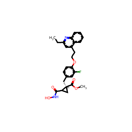 CCc1cc(CCOc2ccc(C[C@]3(C(=O)OC)CC3C(=O)NO)cc2F)c2ccccc2n1